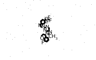 Cc1nc2cnc(-n3cnc4ccc(OC(F)(F)F)cc43)nc2n1C1CCOc2c(F)cccc21